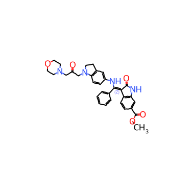 COC(=O)c1ccc2c(c1)NC(=O)/C2=C(\Nc1ccc2c(c1)CCN2CC(=O)CN1CCOCC1)c1ccccc1